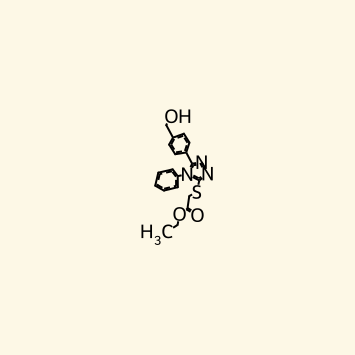 CCOC(=O)CSc1nnc(-c2ccc(CO)cc2)n1-c1ccccc1